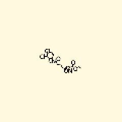 CCOC(=O)c1cc(CCCC(=O)N2CCc3c2ccc(Cl)c3Cl)on1